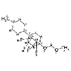 COCOC12CCC(C3CCC(C)CC3)(CC1)C(F)(F)C2(F)F